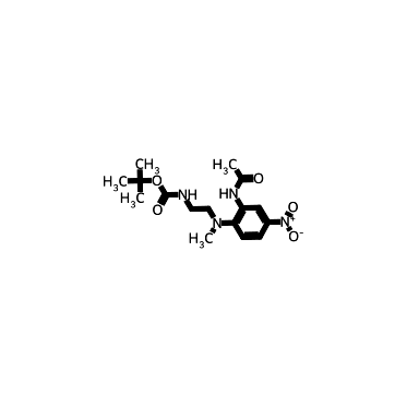 CC(=O)Nc1cc([N+](=O)[O-])ccc1N(C)CCNC(=O)OC(C)(C)C